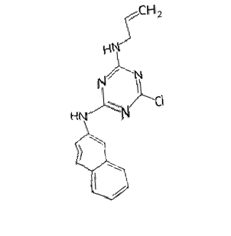 C=CCNc1nc(Cl)nc(Nc2ccc3ccccc3c2)n1